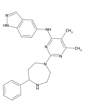 Cc1nc(N2CCNC(c3ccccc3)CC2)nc(Nc2ccc3[nH]ncc3c2)c1C